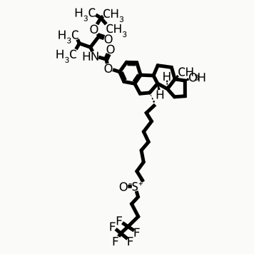 CC(C)C(NC(=O)Oc1ccc2c(c1)C[C@@H](CCCCCCCCC[S+]([O-])CCCC(F)(F)C(F)(F)F)[C@@H]1C2CC[C@]2(C)[C@@H](O)CC[C@@H]12)C(=O)OC(C)(C)C